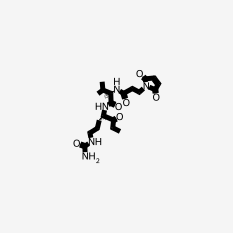 CCC(=O)[C@H](CCCNC(N)=O)NC(=O)[C@@H](NC(=O)CCN1C(=O)C=CC1=O)C(C)C